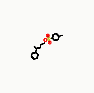 C/C(=C\CCOS(=O)(=O)c1ccc(C)cc1)c1ccccc1